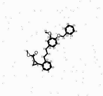 COC(=O)C1CC1c1ccccc1CCCc1ccc(OCc2ccccc2)c(OC)c1